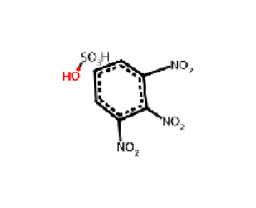 O=S(=O)(O)O.O=[N+]([O-])c1cccc([N+](=O)[O-])c1[N+](=O)[O-]